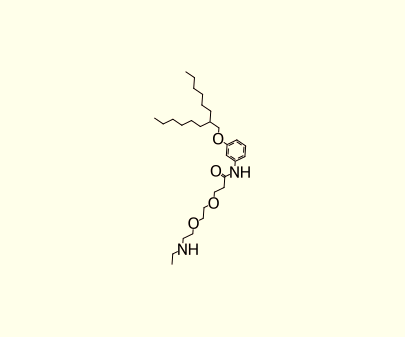 CCCCCCC(CCCCCC)COc1cccc(NC(=O)CCOCCOCCNCC)c1